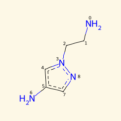 NCCn1cc(N)cn1